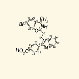 CC(NC(=O)CCn1c(-c2ccc(C(=O)O)cc2)nc2ccccc21)c1ccc(Br)cc1